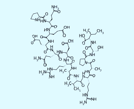 CC[C@H](C)[C@H](NC(=O)[C@H](CO)NC(=O)[C@@H]1CCCN1C(=O)[C@H](C)NC(=O)[C@H](CCCNC(=N)N)NC(=O)[C@@H](NC(=O)[C@H](C)NC(=O)[C@H](CCCNC(=N)N)NC(=O)[C@H](CC(=O)O)NC(=O)[C@H](CCC(N)=O)NC(=O)[C@H](CCC(=O)O)NC(=O)[C@H](CCC(=O)O)NC(=O)[C@H](CCC(N)=O)NC(=O)[C@@H]1CCCN1)C(C)C)C(=O)O